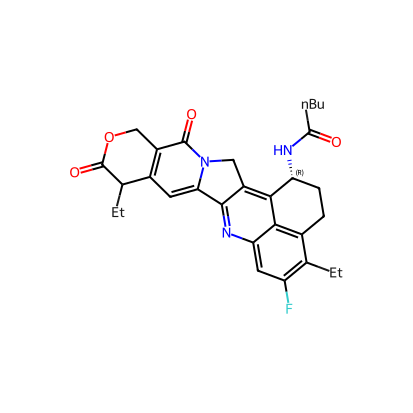 CCCCC(=O)N[C@@H]1CCc2c(CC)c(F)cc3nc4c(c1c23)Cn1c-4cc2c(c1=O)COC(=O)C2CC